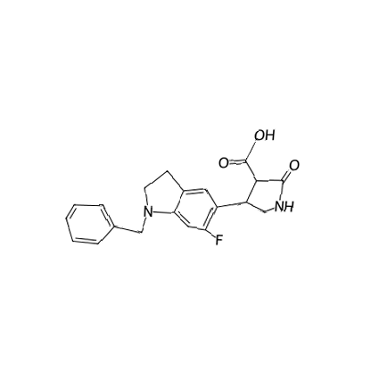 O=C(O)C1C(=O)NCC1c1cc2c(cc1F)N(Cc1ccccc1)CC2